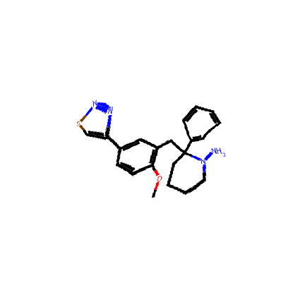 COc1ccc(-c2csnn2)cc1CC1(c2ccccc2)CCCCN1N